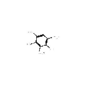 O=C(O)c1cc(C(=O)O)c(O)c(C(=O)O)c1O